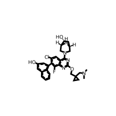 CN(C)CC1(COc2nc(N3C[C@H]4C[C@@H](O)[C@@H](C3)N4)c3cc(Cl)c(-c4cc(O)cc5ccccc45)c(F)c3n2)CC1